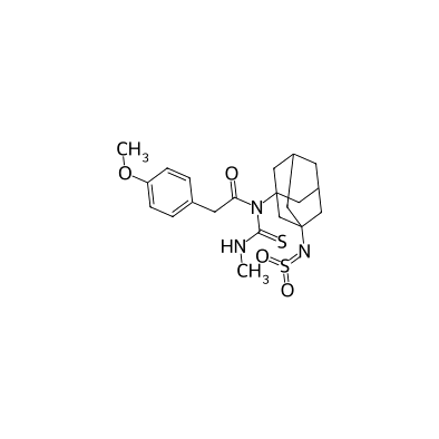 CNC(=S)N(C(=O)Cc1ccc(OC)cc1)C12CC3CC(CC(N=S(=O)=O)(C3)C1)C2